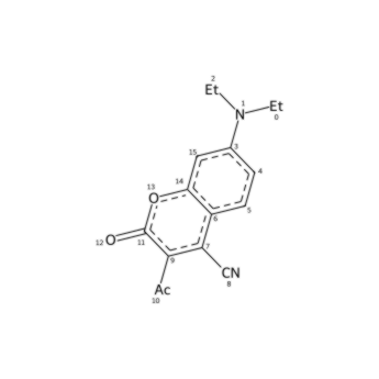 CCN(CC)c1ccc2c(C#N)c(C(C)=O)c(=O)oc2c1